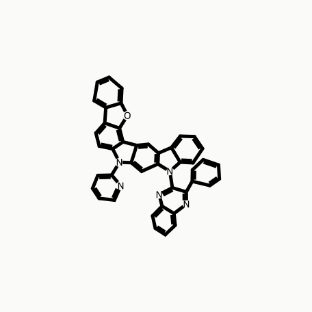 c1ccc(-c2nc3ccccc3nc2-n2c3ccccc3c3cc4c5c6oc7ccccc7c6ccc5n(-c5ccccn5)c4cc32)cc1